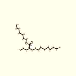 CCCCCCCCCCC(CCC)C(=O)OCCCCCCC